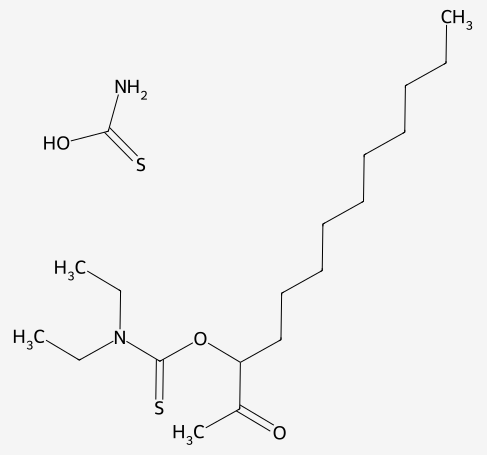 CCCCCCCCCCC(OC(=S)N(CC)CC)C(C)=O.NC(O)=S